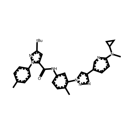 Cc1ccc(-n2nc(C(C)(C)C)cc2C(=O)Nc2ccc(C)c(-n3cc(-c4ccc(N(C)C5CC5)nc4)nn3)c2)cc1